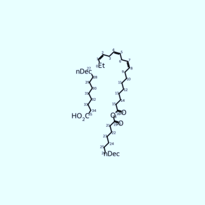 CC/C=C\C/C=C\C/C=C\CCCCCCCC(=O)OC(=O)CCCCCCCCCCCCCCC.CCCCCCCCCCCCCCCCCC(=O)O